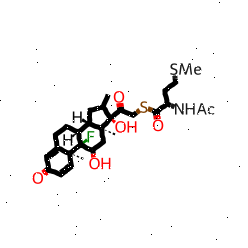 CSCCC(NC(C)=O)C(=O)SCC(=O)[C@@]1(O)C(C)C[C@H]2[C@@H]3CCC4=CC(=O)C=C[C@]4(C)[C@@]3(F)C(O)C[C@@]21C